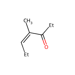 CC/C=C(/C)C(=O)CC